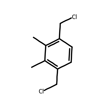 Cc1c(CCl)ccc(CCl)c1C